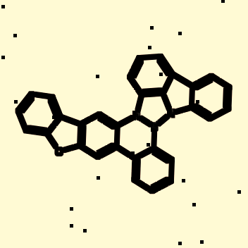 c1ccc2c(c1)B1N(c3cc4c(cc3-2)oc2ccccc24)c2cccc3c4ccccc4n1c23